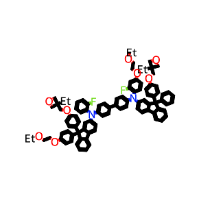 CCOCCOc1ccc(C2(c3ccc(OCC4(CC)COC4)cc3)c3ccccc3-c3ccc(N(c4ccc(-c5ccc(N(c6ccc7c(c6)C(c6ccccc6)(c6ccc(OCC8(CC)COC8)cc6)c6ccccc6-7)c6ccc(OCCOCC)cc6F)cc5)cc4)c4ccccc4F)cc32)cc1